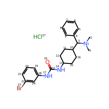 CN(C)C(c1ccccc1)C1CCC(NC(=O)Nc2cccc(Br)c2)CC1.Cl